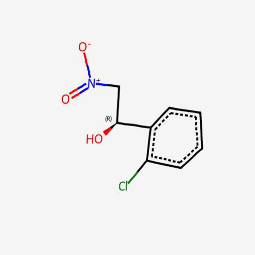 O=[N+]([O-])C[C@H](O)c1ccccc1Cl